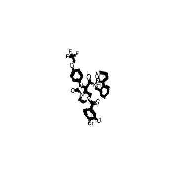 O=C(NCc1ccccc1-c1cccnn1)c1c2n(c(=O)n1-c1ccc(OCC(F)(F)F)cc1)CCN(C(=O)c1ccc(Br)c(Cl)c1)C2